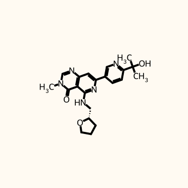 Cn1cnc2cc(-c3ccc(C(C)(C)O)nc3)nc(NC[C@@H]3CCCO3)c2c1=O